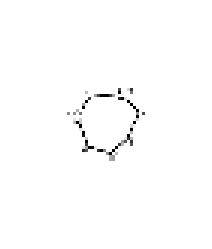 [CH]1CCSCOC1